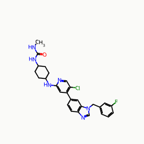 CNC(=O)NC1CCC(Nc2cc(-c3ccc4ncn(Cc5cccc(F)c5)c4c3)c(Cl)cn2)CC1